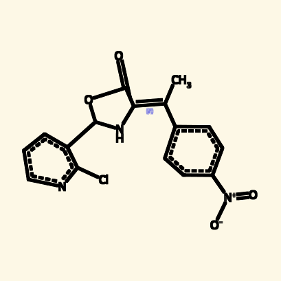 C/C(=C1/NC(c2cccnc2Cl)OC1=O)c1ccc([N+](=O)[O-])cc1